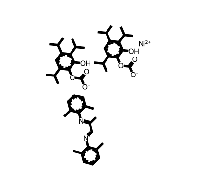 CC(C)c1cc(C(C)C)c(C(C)C)c(O)c1OC(=O)[O-].CC(C)c1cc(C(C)C)c(C(C)C)c(O)c1OC(=O)[O-].CC(C=Nc1c(C)cccc1C)=Nc1c(C)cccc1C.[Ni+2]